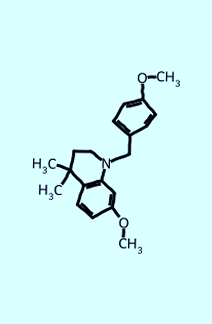 COc1ccc(CN2CCC(C)(C)c3ccc(OC)cc32)cc1